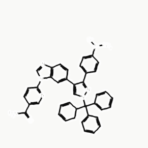 C[S+]([O-])c1ccc(-c2nn(C(c3ccccc3)(c3ccccc3)C3C=CC=CC3)cc2-c2ccc3ncn(-c4ccc(C(N)=O)cn4)c3c2)cc1